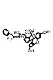 CCN(NC(C)Cc1ccccc1)C(C(=O)O)c1cccc2c1C(=O)OC21c2ccc(O)cc2Oc2cc(O)ccc21